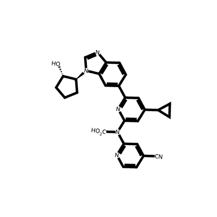 N#Cc1ccnc(N(C(=O)O)c2cc(C3CC3)cc(-c3ccc4ncn([C@H]5CCC[C@@H]5O)c4c3)n2)c1